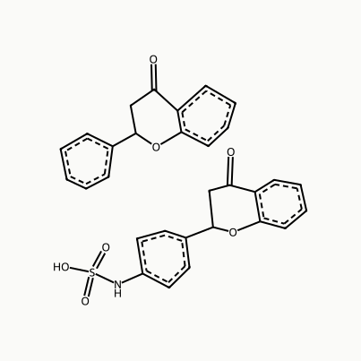 O=C1CC(c2ccc(NS(=O)(=O)O)cc2)Oc2ccccc21.O=C1CC(c2ccccc2)Oc2ccccc21